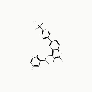 Cc1nc2ccc(-c3cnc(C(C)(C)O)nc3)cc2c(NC(C)c2cc(Br)ccc2F)c1Cl